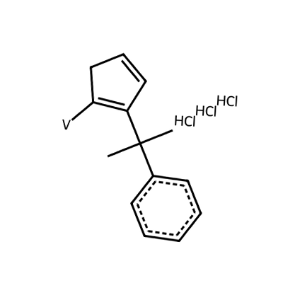 CC(C)(C1=[C]([V])CC=C1)c1ccccc1.Cl.Cl.Cl